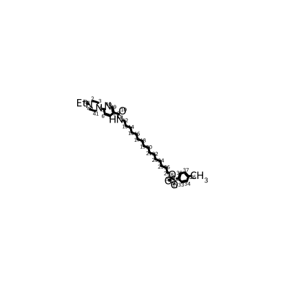 CCN1CCN(c2ccc(C(=O)NCCCCCCCCCCCCCCCCOS(=O)(=O)c3ccc(C)cc3)cn2)CC1